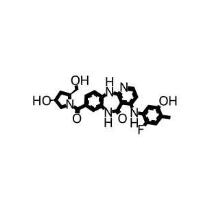 Cc1cc(F)c(Nc2ccnc3c2C(=O)Nc2cc(C(=O)N4C[C@H](O)C[C@H]4CO)ccc2N3)cc1O